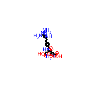 Nc1nc(N)c2c(n1)NC(CCc1ccc(C(=O)N[C@@H](CCC(=O)O)C(=O)C(C[C@H](N)C(=O)O)C(=O)O)cc1)C2